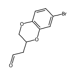 O=CCC1COc2ccc(Br)cc2O1